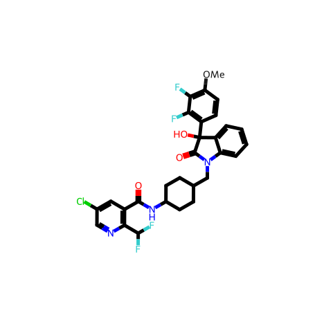 COc1ccc(C2(O)C(=O)N(CC3CCC(NC(=O)c4cc(Cl)cnc4C(F)F)CC3)c3ccccc32)c(F)c1F